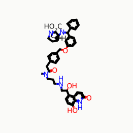 CN(CCCNC[C@@H](O)c1ccc(O)c2[nH]c(=O)ccc12)C(=O)Cc1ccc(COc2cccc(C(c3ccccc3)N(C(=O)O)[C@H]3CN4CCC3CC4)c2)cc1